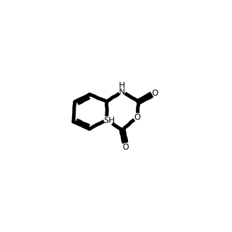 O=C1NC2C=CC=C[SH]2C(=O)O1